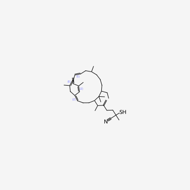 C=C/C(C)=C\C1=C/CCC(C(C)C(=C)CCC(C)(S)C#N)C(C)(C)C(CC)CCCC(C)C/C=C/C=C(\C)C1